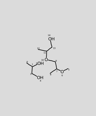 CC(O)CO.COC(C)COC(C)CO